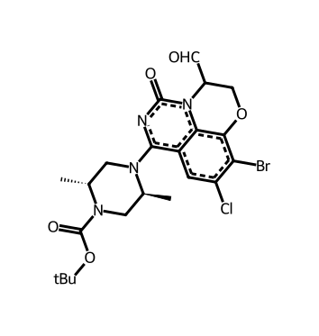 C[C@@H]1CN(c2nc(=O)n3c4c(c(Br)c(Cl)cc24)OCC3C=O)[C@@H](C)CN1C(=O)OC(C)(C)C